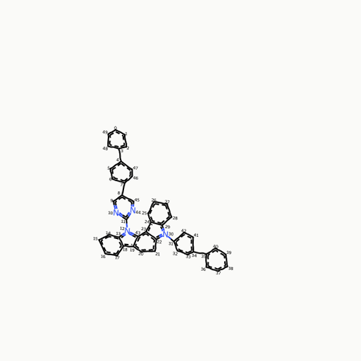 c1ccc(-c2ccc(-c3cnc(-n4c5ccccc5c5ccc6c(c7ccccc7n6-c6ccc(-c7ccccc7)cc6)c54)nc3)cc2)cc1